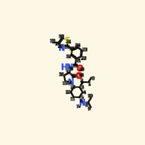 CCC[C@H]1C[C@H](N(C)C(C)C)CC[C@@H]1N1CC[C@H](NC(=O)c2cccc(-c3nc(C)cs3)c2)C1=O